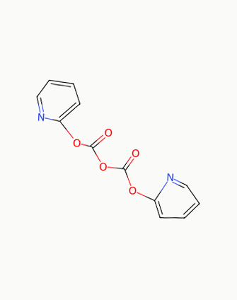 O=C(OC(=O)Oc1ccccn1)Oc1ccccn1